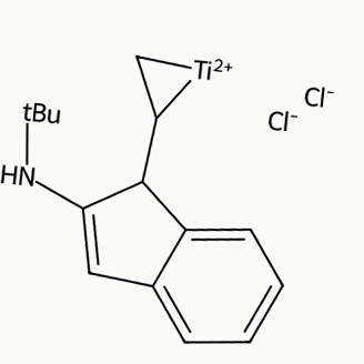 CC(C)(C)NC1=Cc2ccccc2C1[CH]1[CH2][Ti+2]1.[Cl-].[Cl-]